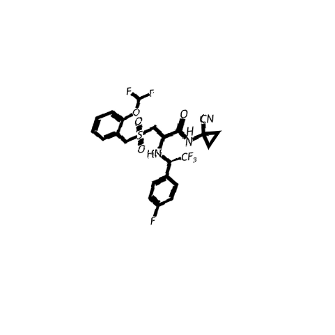 N#CC1(NC(=O)C(CS(=O)(=O)Cc2ccccc2OC(F)F)N[C@H](c2ccc(F)cc2)C(F)(F)F)CC1